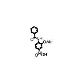 COc1cc([N+](=O)O)ccc1NC(=O)c1ccccc1